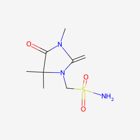 C=C1N(C)C(=O)C(C)(C)N1CS(N)(=O)=O